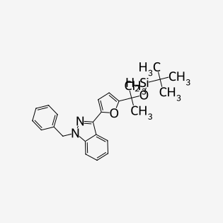 CC(C)(C)[SiH2]OC(C)(C)c1ccc(-c2nn(Cc3ccccc3)c3ccccc23)o1